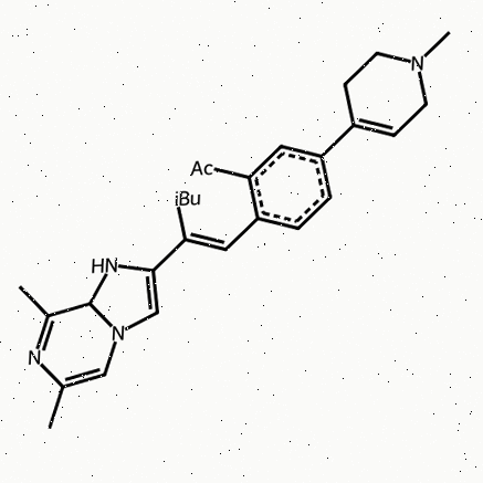 CCC(C)/C(=C\c1ccc(C2=CCN(C)CC2)cc1C(C)=O)C1=CN2C=C(C)N=C(C)C2N1